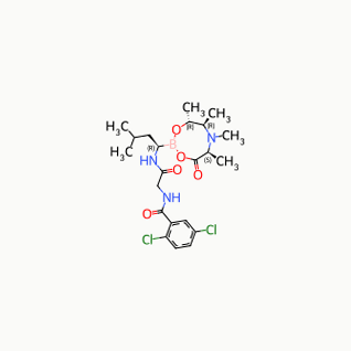 CC(C)C[C@H](NC(=O)CNC(=O)c1cc(Cl)ccc1Cl)B1OC(=O)[C@H](C)N(C)[C@H](C)[C@@H](C)O1